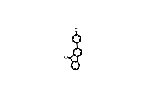 O=C1c2ccccc2-c2ccc(-c3ccc(Cl)cc3)cc21